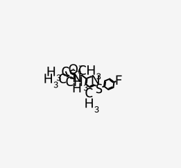 Cc1cc([C@@H](C)N[S+]([O-])C(C)(C)C)cnc1Sc1ccc(F)cc1